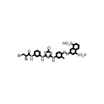 Cc1cc(Nc2nc(Cl)nc(Nc3cccc(NC(=O)C(Br)CBr)c3)n2)ccc1N=Nc1cc(S(=O)(=O)O)c2cccc(S(=O)(=O)O)c2c1